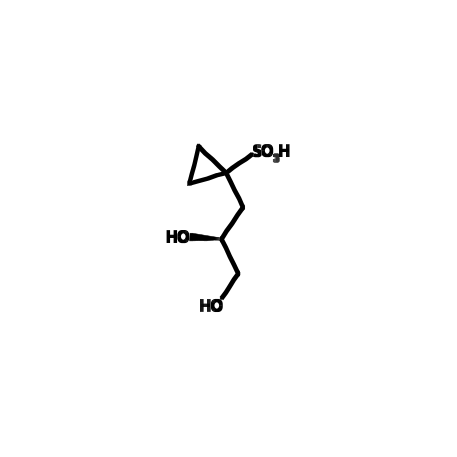 O=S(=O)(O)C1(C[C@H](O)CO)CC1